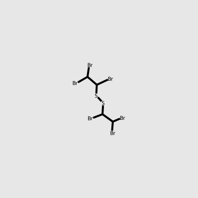 BrC(Br)C(Br)SSC(Br)C(Br)Br